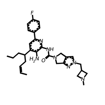 C/C=C\CC(CCC)c1cc(-c2ccc(F)cc2)nc(NC(=O)N2Cc3cn(CC4CN(C)C4)nc3C2)c1N